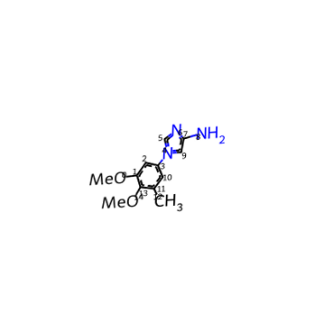 COc1cc(-n2cnc(N)c2)cc(C)c1OC